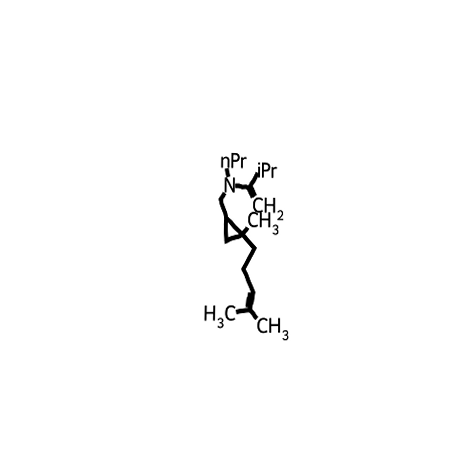 C=C(C(C)C)N(CCC)CC1CC1(C)CCC=C(C)C